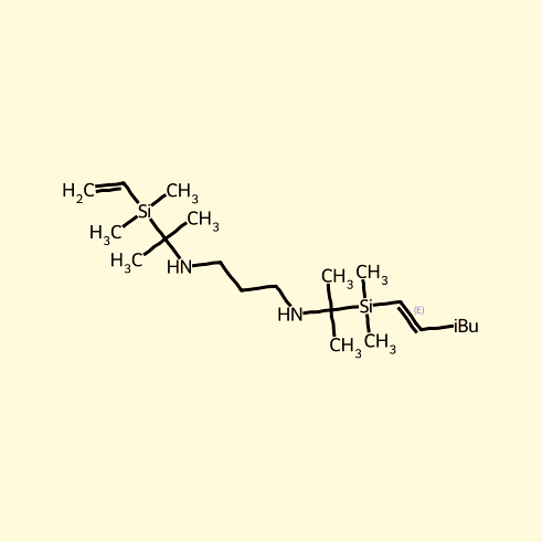 C=C[Si](C)(C)C(C)(C)NCCCNC(C)(C)[Si](C)(C)/C=C/C(C)CC